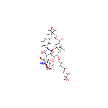 CCC1(COC(=O)C2CC3CC2C(C)C3C(OCCCCOCC2CO2)C(OCC2(CC)COC2)C2C(=O)N(C3CCCCC3)C(=O)C2C2C(=O)NC(=O)C2C)COC1